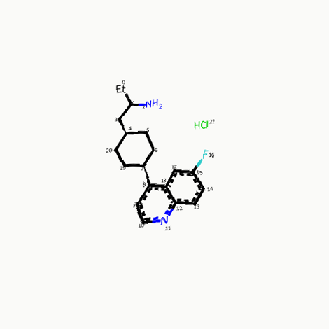 CCC(N)C[C@H]1CC[C@@H](c2ccnc3ccc(F)cc32)CC1.Cl